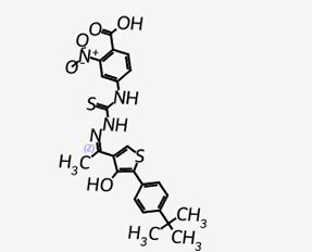 C/C(=N/NC(=S)Nc1ccc(C(=O)O)c([N+](=O)[O-])c1)c1csc(-c2ccc(C(C)(C)C)cc2)c1O